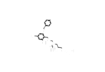 O=C(O)C[C@H](O)C[PH](=O)COCc1c(Cl)cc(Cl)cc1OCc1ccc(F)cc1